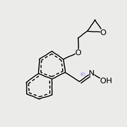 O/N=C/c1c(OCC2CO2)ccc2ccccc12